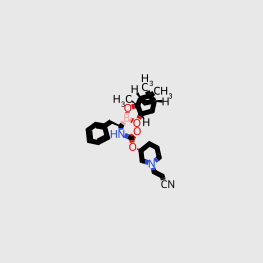 CC1(C)[C@@H]2C[C@H]3OB([C@H](Cc4ccccc4)NC(=O)O[C@@H]4CCCN(CCC#N)C4)O[C@@]3(C)[C@H]1C2